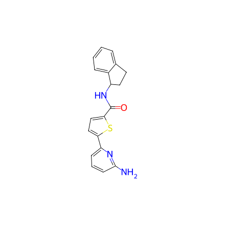 Nc1cccc(-c2ccc(C(=O)NC3CCc4ccccc43)s2)n1